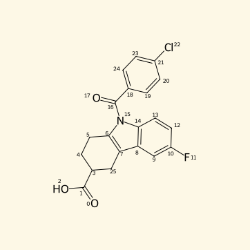 O=C(O)C1CCc2c(c3cc(F)ccc3n2C(=O)c2ccc(Cl)cc2)C1